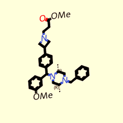 COC(=O)CCN1CC(c2ccc(C(c3cccc(OC)c3)N3C[C@@H](C)N(Cc4ccccc4)C[C@H]3C)cc2)C1